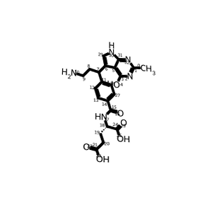 Cc1nc(O)c2c(C(CCN)c3ccc(C(=O)N[C@@H](CCC(=O)O)C(=O)O)cc3)c[nH]c2n1